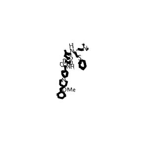 COC1(CC2CCCCC2)CCN(c2ccc(C(=O)NS(=O)(=O)c3cc(C)c(N[C@H](CCN(C)C)CSc4ccccc4)s3)cc2)CC1